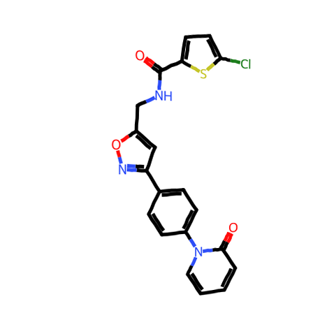 O=C(NCc1cc(-c2ccc(-n3ccccc3=O)cc2)no1)c1ccc(Cl)s1